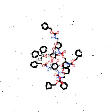 CC(C)(C)[Si](OC[C@H]1O[C@@H](O[C@@H]2[C@@H](O)[C@H](NC(=O)OCc3ccccc3)C[C@H](NC(=O)OCc3ccccc3)[C@H]2O[C@H]2O[C@H](CNC(=O)OCc3ccccc3)C=C[C@H]2NC(=O)OCc2ccccc2)[C@H](O)[C@@H]1O[C@H]1O[C@@H](CNC(=O)OCc2ccccc2)C=C[C@H]1NC(=O)OCc1ccccc1)(c1ccccc1)c1ccccc1